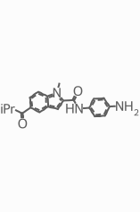 CC(C)C(=O)c1ccc2c(c1)cc(C(=O)Nc1ccc(N)cc1)n2C